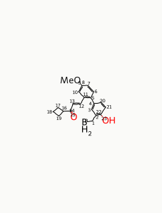 BCc1cc(-c2ccc(OC)cc2/C=C/C(=O)C2CCC2)ccc1O